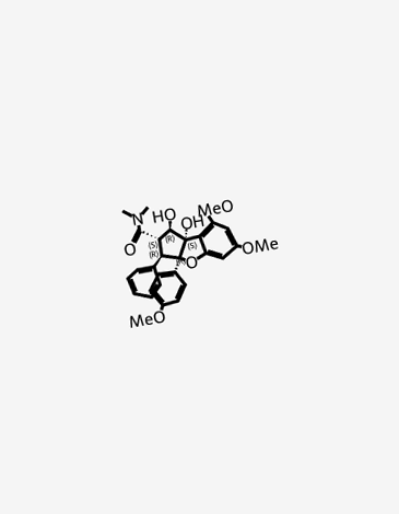 COc1ccc([C@@]23Oc4cc(OC)cc(OC)c4[C@]2(O)[C@H](O)[C@@H](C(=O)N(C)C)[C@@H]3c2ccccc2)cc1